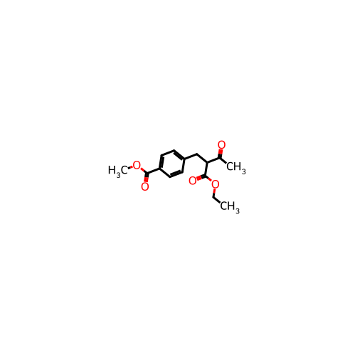 CCOC(=O)C(Cc1ccc(C(=O)OC)cc1)C(C)=O